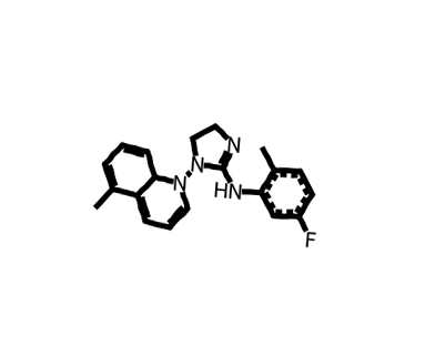 CC1=CC=CC2C1=CC=CN2N1CCN=C1Nc1cc(F)ccc1C